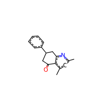 Cc1cc(C)c2c(n1)CC(c1ccccc1)CC2=O